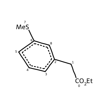 CCOC(=O)Cc1cccc(SC)c1